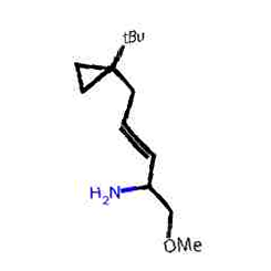 COCC(N)C=CCC1(C(C)(C)C)CC1